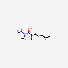 CCCCCNC(=O)N(CC)CC